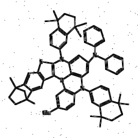 CC(C)(C)c1ccc2c(c1)B1c3c(cc(N(c4ccccc4)c4ccccc4)cc3N(c3ccc4c(c3)C(C)(C)CCC4(C)C)c3sc4cc5c(cc4c31)C1(C)CCC5(C)C1)N2c1ccc2c(c1)C(C)(C)CCC2(C)C